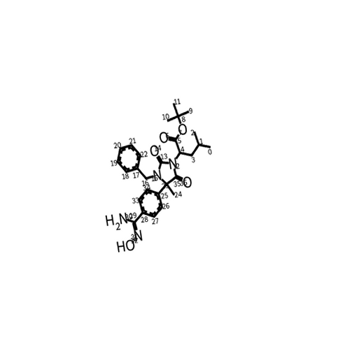 CC(C)CC(C(=O)OC(C)(C)C)N1C(=O)N(Cc2ccccc2)C(C)(c2ccc(C(N)=NO)cc2)C1=O